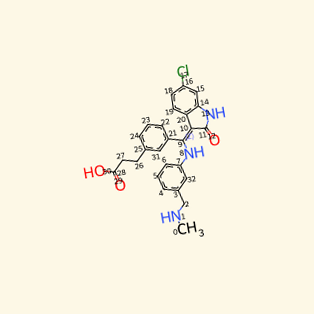 CNCc1cccc(N/C(=C2\C(=O)Nc3cc(Cl)ccc32)c2cccc(CCC(=O)O)c2)c1